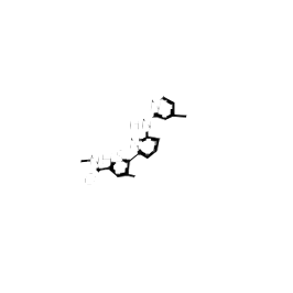 CNC(=O)c1cc(C)c(-c2cccc(Nc3cc(C)ccn3)n2)s1